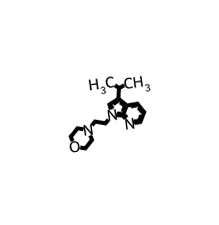 CC(C)c1cn(CCN2CCOCC2)c2ncccc12